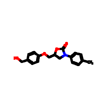 Cc1ccc(N2CC(COc3ccc(CO)cc3)OC2=O)cc1